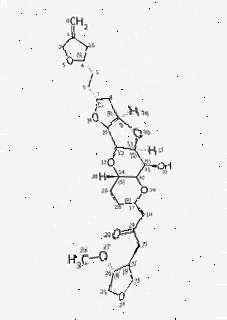 C=C1CO[C@@H](CC[C@@H]2C[C@H]3O[C@@H]4C(O[C@H]5CC[C@H](CC(=O)C[C@H]6COC[C@@H]6OC)OC5[C@@H]4O)C3O2)C1